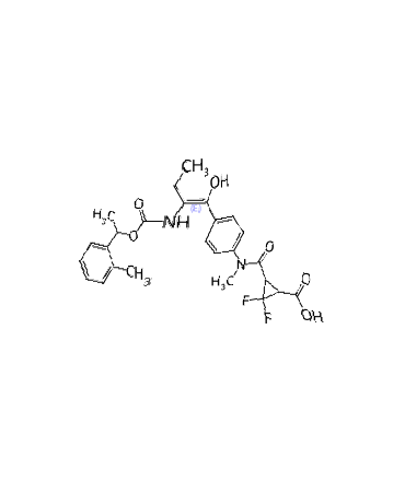 CC/C(NC(=O)OC(C)c1ccccc1C)=C(\O)c1ccc(N(C)C(=O)C2C(C(=O)O)C2(F)F)cc1